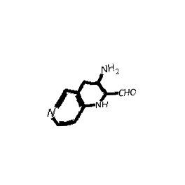 NC1Cc2cnccc2NC1C=O